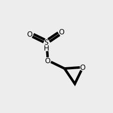 O=[SH](=O)OC1CO1